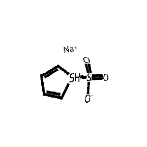 O=S(=O)([O-])[SH]1C=CC=C1.[Na+]